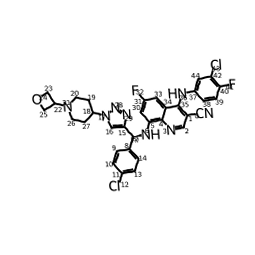 N#Cc1cnc2c(N[C@@H](c3ccc(Cl)cc3)c3cn(C4CCN(C5COC5)CC4)nn3)cc(F)cc2c1Nc1ccc(F)c(Cl)c1